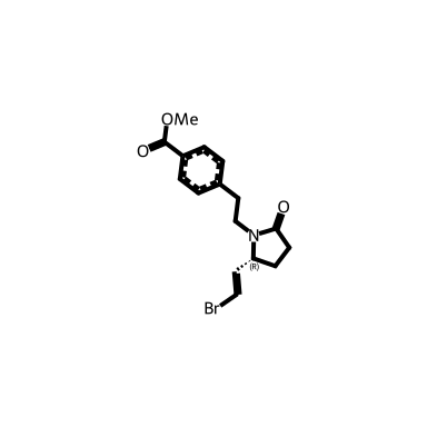 COC(=O)c1ccc(CCN2C(=O)CC[C@@H]2C=CBr)cc1